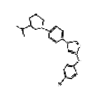 CN(C)C1CCCN(c2ccc(-n3cnc(Nc4cnc(C#N)cn4)c3)cc2)C1